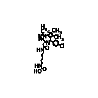 Cc1sc2c(c1C)C(c1ccc(Cl)cc1)=N[C@@H](CC(=O)NCCCCCNC(=O)O)c1nnc(C)n1-2